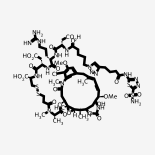 COc1cc2cc(c1Cl)N(C)C(=O)C[C@H](OC(=O)[C@H](C)N(C)C(=O)CCSSC[C@H](NC(=O)[C@H](CC(=O)O)NC(=O)[C@H](CCCNC(=N)N)NC(=O)[C@H](CC(=O)O)NC(=O)CCCCn1cc(CCCC(=O)Nc3nnc(S(N)(=O)=O)s3)nn1)C(=O)O)[C@@]1(C)O[C@H]1[C@H](C)[C@@H]1C[C@@](O)(NC(=O)O1)[C@H](OC)/C=C/C=C(\C)C2